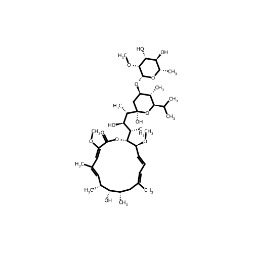 CO/C1=C\C(C)=C\[C@@H](C)[C@@H](O)[C@@H](C)C/C(C)=C/C=C/[C@H](OC)[C@@H]([C@@H](C)[C@@H](O)[C@H](C)[C@@]2(O)C[C@@H](O[C@H]3O[C@@H](C)[C@H](O)[C@@H](O)[C@H]3OC)[C@H](C)[C@@H](C(C)C)O2)OC1=O